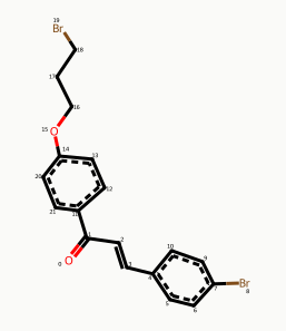 O=C(/C=C/c1ccc(Br)cc1)c1ccc(OCCCBr)cc1